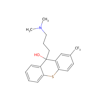 CN(C)CCCC1(O)c2ccccc2Sc2ccc(C(F)(F)F)cc21